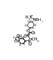 CC(C(=O)c1ccc2c(c1)OCO2)N(C)C(=O)OC1CCC(N(C)C)CC1